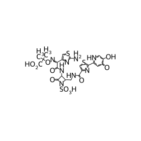 CC(C)(O/N=C(\C(=O)NC1C(=O)N(S(=O)(=O)O)C1CNC(=O)c1csc(-c2cc(=O)c(O)c[nH]2)n1)c1csc(N)n1)C(=O)O